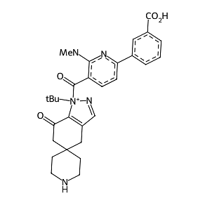 CNc1nc(-c2cccc(C(=O)O)c2)ccc1C(=O)[N+]1(C(C)(C)C)N=CC2=C1C(=O)CC1(CCNCC1)C2